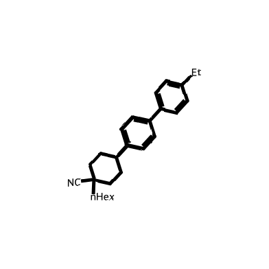 CCCCCCC1(C#N)CCC(c2ccc(-c3ccc(CC)cc3)cc2)CC1